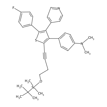 CN(C)c1ccc(-c2c(C#CCCO[Si](C)(C)C(C)(C)C)sc(-c3ccc(F)cc3)c2-c2ccncc2)cc1